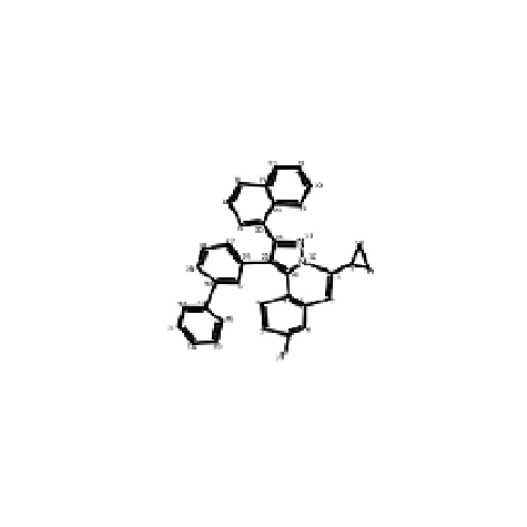 Fc1ccc2c(c1)cc(C1CC1)n1nc(-c3cccc4ccccc34)c(-c3cccc(-c4ccccc4)c3)c21